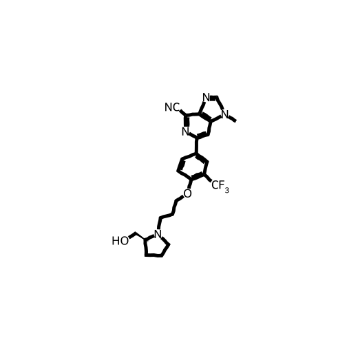 Cn1cnc2c(C#N)nc(-c3ccc(OCCCN4CCC[C@H]4CO)c(C(F)(F)F)c3)cc21